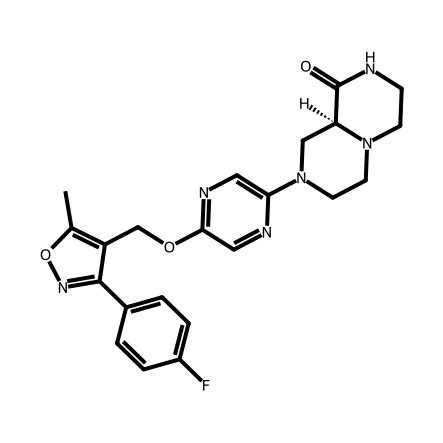 Cc1onc(-c2ccc(F)cc2)c1COc1cnc(N2CCN3CCNC(=O)[C@@H]3C2)cn1